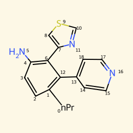 CCCc1ccc(N)c(-c2cscn2)c1-c1ccncc1